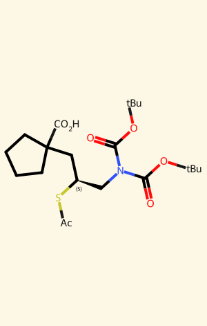 CC(=O)S[C@H](CN(C(=O)OC(C)(C)C)C(=O)OC(C)(C)C)CC1(C(=O)O)CCCC1